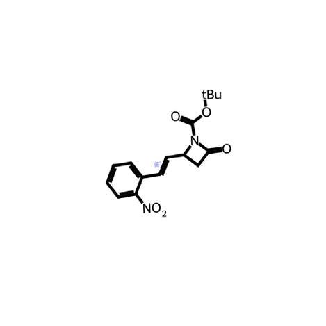 CC(C)(C)OC(=O)N1C(=O)CC1/C=C/c1ccccc1[N+](=O)[O-]